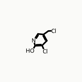 Oc1ncc(CCl)cc1Cl